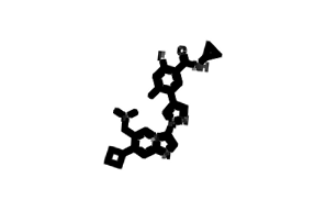 Cc1cc(F)c(C(=O)NC2CC2)cc1-c1cnn(-c2cnc3cc(C4CCC4)c(CN(C)C)cn23)c1